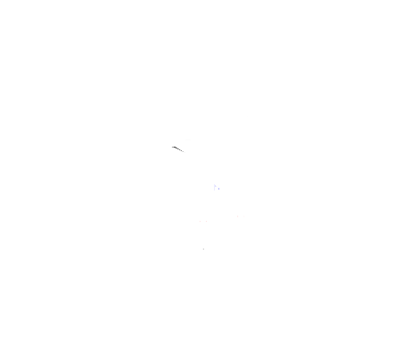 C=C(C)OC(=O)N1C[C@@H]2CCCC[C@@H]2[C@H](C(=O)O)C1